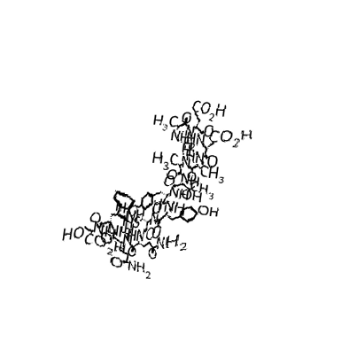 C[C@H](N)C(=O)N[C@@H](CCC(=O)O)C(=O)N[C@@H](CC(=O)O)C(=O)N[C@@H](C)C(=O)N[C@@H](C)C(=O)N[C@H](C(=O)N[C@@H](Cc1ccc(O)cc1)C(=O)N[C@@H](Cc1ccc(O)cc1)C(=O)N[C@@H](CS)C(=O)N[C@@H](CCC(N)=O)C(=O)N[C@@H](CCC(N)=O)C(=O)N[C@@H](Cc1c[nH]c2ccccc12)C(=O)N[C@@H](CO)C(=O)O)[C@@H](C)O